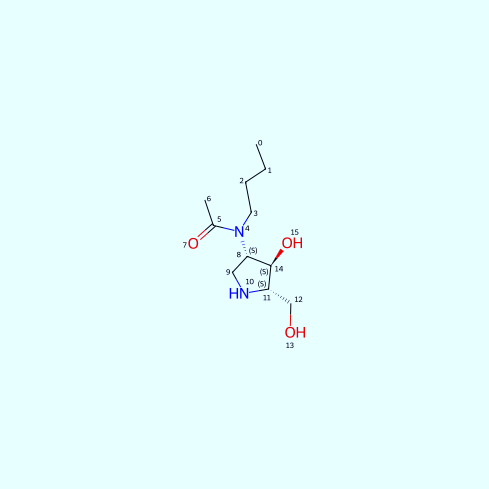 CCCCN(C(C)=O)[C@H]1CN[C@@H](CO)[C@@H]1O